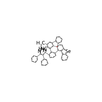 Cc1cc2c(c(-c3c(-c4nnnc(-c5ccccc5)c4-c4ccccc4)cccc3-c3cccc4[se]c5ccccc5c34)c1C)Cc1ccccc1-2